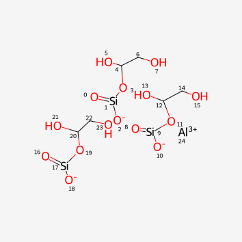 O=[Si]([O-])OC(O)CO.O=[Si]([O-])OC(O)CO.O=[Si]([O-])OC(O)CO.[Al+3]